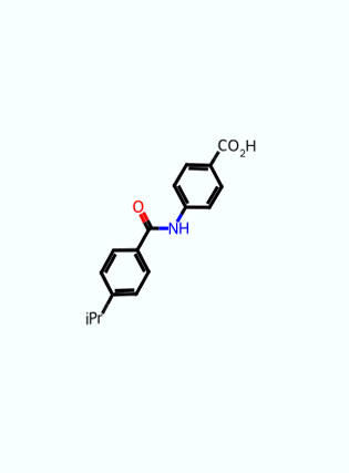 CC(C)c1ccc(C(=O)Nc2ccc(C(=O)O)cc2)cc1